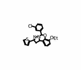 CCOc1cccc2c1OC(c1cccc(Cl)c1)N1N=C(c3cccs3)CC21